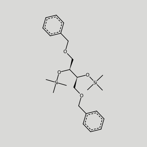 C[Si](C)(C)O[C@@H](COCc1ccccc1)[C@H](COCc1ccccc1)O[Si](C)(C)C